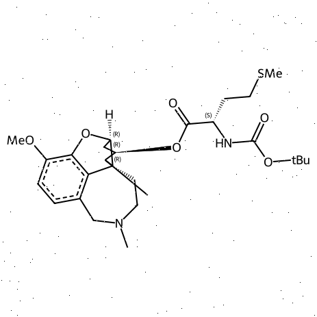 COc1ccc2c3c1O[C@@H]1C[C@@H](OC(=O)[C@H](CCSC)NC(=O)OC(C)(C)C)C(C)[C@]31CCN(C)C2